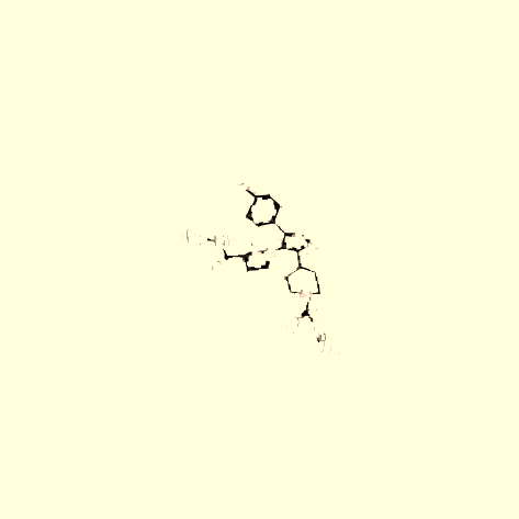 CC(C)NC(=O)c1ccn(-c2c(-c3ccc(F)cc3)noc2C2CCN(C(=O)OC(C)(C)C)CC2)n1